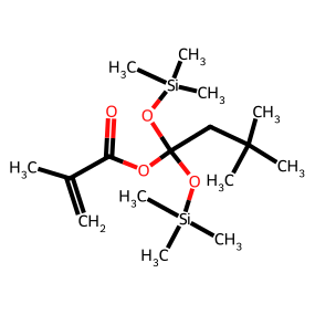 C=C(C)C(=O)OC(CC(C)(C)C)(O[Si](C)(C)C)O[Si](C)(C)C